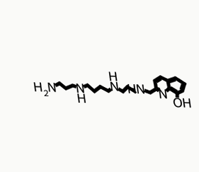 NCCCNCCCCNCCCNCc1ccc2cccc(O)c2n1